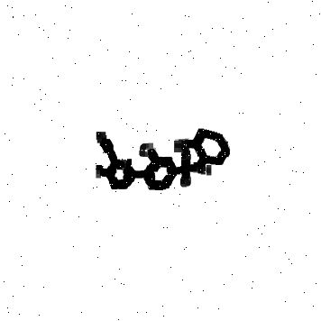 N#Cc1nc(-c2ccc(S(=O)(=O)NC3CCCCC3O)cc2Cl)ccc1F